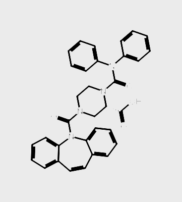 O=C(O)[C@@H]1CN(C(=O)N2c3ccccc3C=Cc3ccccc32)CCN1C(=O)N(c1ccccc1)c1ccccc1